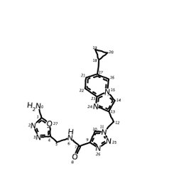 Nc1nnc(CNC(=O)c2cn(Cc3cn4cc(C5CC5)ccc4n3)nn2)o1